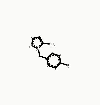 CC(C)c1ccc(Cn2nccc2N)cc1